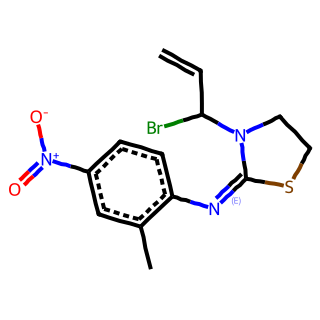 C=CC(Br)N1CCS/C1=N/c1ccc([N+](=O)[O-])cc1C